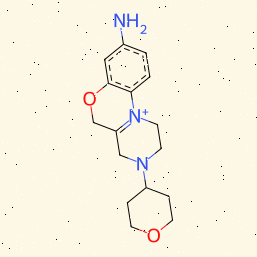 Nc1ccc2c(c1)OCC1=[N+]2CCN(C2CCOCC2)C1